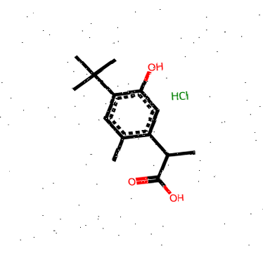 Cc1cc(C(C)(C)C)c(O)cc1C(C)C(=O)O.Cl